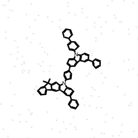 CC1(C)c2ccccc2-c2cc3c4cc(-c5ccccc5)ccc4n(-c4ccc(-c5ccc6c(c5)c5cc(-c7ccccc7)ccc5n6-c5ccc(C6C=CC=CC6)cc5)cc4)c3cc21